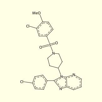 COc1ccc(S(=O)(=O)N2CCC(n3c(-c4ccc(Cl)cc4)nc4cccnc43)CC2)cc1Cl